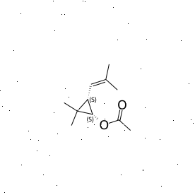 CC(=O)O[C@H]1[C@@H](C=C(C)C)C1(C)C